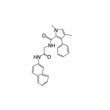 Cc1cn(C)c(C(=O)NCC(=O)Nc2ccc3ccccc3c2)c1-c1ccccc1